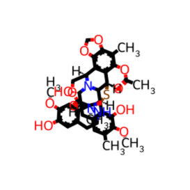 COc1cc2c(cc1O)CCN[C@]21CS[C@H]2c3c(OC(C)=O)c(C)c4c(c3[C@H](COC1=O)N1C2[C@H]2c3c(cc(C)c(OC)c3O)C[C@H]([C@@H]1O)N2C)OCO4